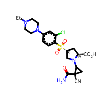 CCN1CCN(c2ccc(S(=O)(=O)[C@@H]3C[C@@H](C(=O)O)N(C4CC4(C#N)C(N)=O)C3)c(Cl)c2)CC1